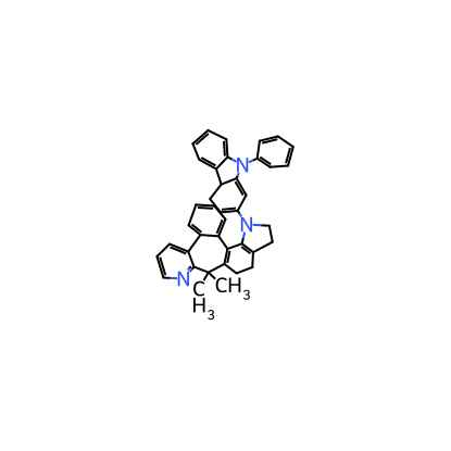 CC1(C)C2=C(C3=C(CC2)CCN3C2=CCC3C(=C2)N(c2ccccc2)c2ccccc23)c2ccccc2-c2cccnc21